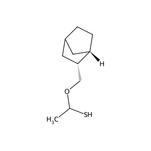 CC(S)OC[C@@H]1CC2CC[C@H]1C2